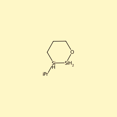 CC(C)[SiH]1CCCO[SiH2]1